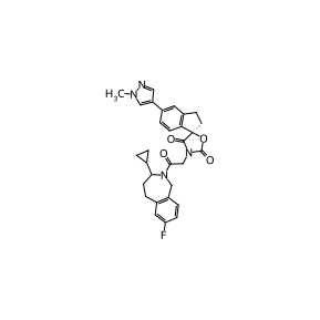 Cn1cc(-c2ccc3c(c2)CC[C@@]32OC(=O)N(CC(=O)N3Cc4ccc(F)cc4CCC3C3CC3)C2=O)cn1